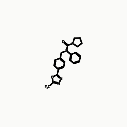 O=C(N1CCCC1)N(Cc1ccc(-c2nnc(C(F)(F)F)o2)cc1)c1ccccc1